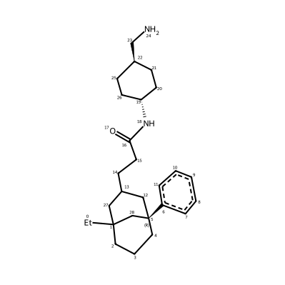 CCC12CCC[C@@](c3ccccc3)(CC(CCC(=O)N[C@H]3CC[C@H](CN)CC3)C1)C2